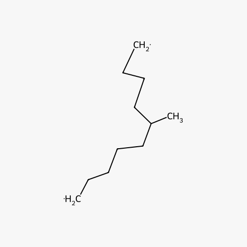 [CH2]CCCCC(C)CCC[CH2]